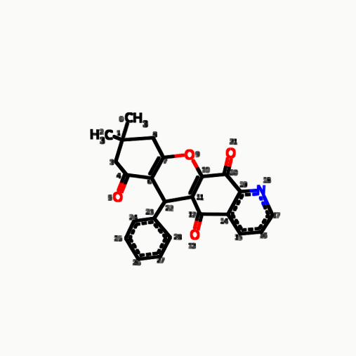 CC1(C)CC(=O)C2=C(C1)OC1=C(C(=O)c3cccnc3C1=O)C2c1ccccc1